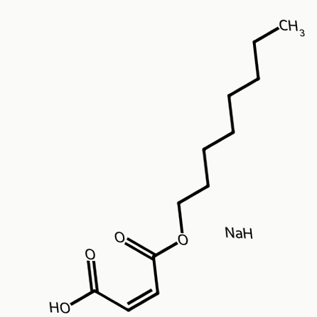 CCCCCCCCOC(=O)/C=C\C(=O)O.[NaH]